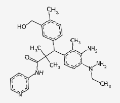 CCN(N)c1ccc(C(c2ccc(C)c(CO)c2)C(C)(C)C(=O)Nc2cccnc2)c(C)c1N